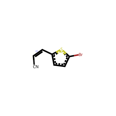 N#C/C=C\c1ccc(Br)s1